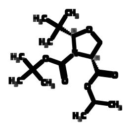 CC(C)OC(=O)[C@H]1CO[C@@H](C(C)(C)C)N1C(=O)OC(C)(C)C